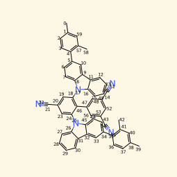 Cc1ccc(-c2ccc3c(c2)c2ccccc2n3-c2cc(C#N)cc(-n3c4ccccc4c4cc(-c5ccc(C)cc5C)ccc43)c2-c2cc(C#N)cc(C#N)c2)c(C)c1